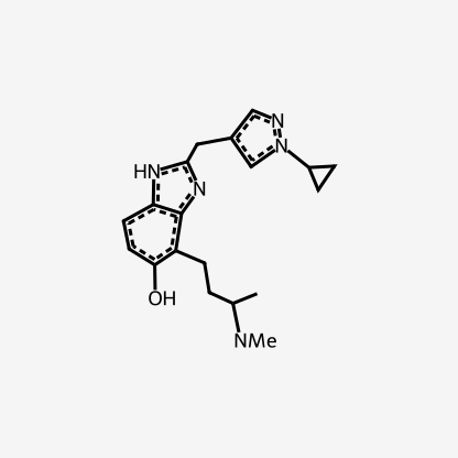 CNC(C)CCc1c(O)ccc2[nH]c(Cc3cnn(C4CC4)c3)nc12